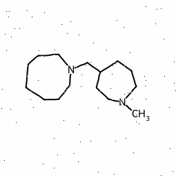 CN1CCCC(CN2CCCCCCC2)CC1